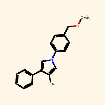 COOCc1ccc(-n2cc(C#N)c(-c3ccccc3)c2)cc1